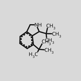 CC(C)(C)c1cccc2c1C(C(C)(C)C)NC2